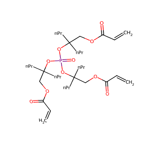 C=CC(=O)OCC(CCC)(CCC)OP(=O)(OC(CCC)(CCC)COC(=O)C=C)OC(CCC)(CCC)COC(=O)C=C